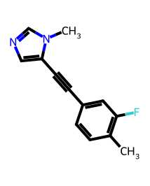 Cc1ccc(C#Cc2cncn2C)cc1F